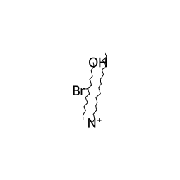 CCCCCCCCCCCCCCCC[N+](C)(C)C.CCCCCCCCCCCCCO.[Br-]